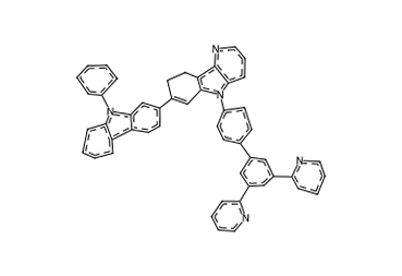 C1=C(c2ccc3c4ccccc4n(-c4ccccc4)c3c2)CCc2c1n(-c1ccc(-c3cc(-c4ccccn4)cc(-c4ccccn4)c3)cc1)c1cccnc21